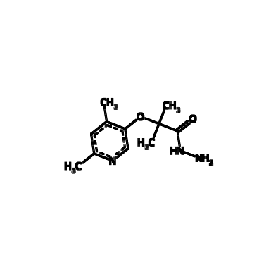 Cc1cc(C)c(OC(C)(C)C(=O)NN)cn1